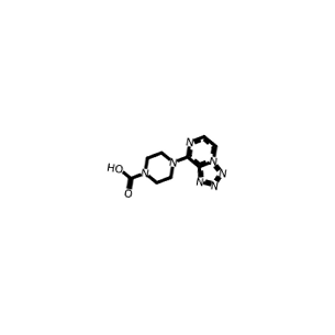 O=C(O)N1CCN(c2nccn3nnnc23)CC1